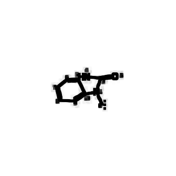 [C]n1c(=O)[nH]c2ccccc21